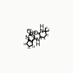 CC1(C)CC[C@@H](Nc2nc(Cl)nc3c2CCC3)C(O)N1